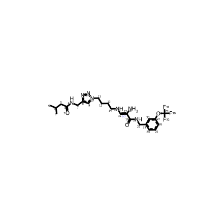 CC(C)CC(=O)NCc1cn(CCCCN/C=C(\N)C(=O)NCc2cccc(OC(F)(F)F)c2)nn1